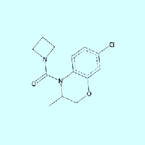 CC1COc2cc(Cl)ccc2N1C(=O)N1CCC1